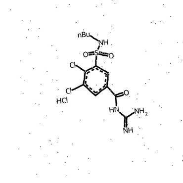 CCCCNS(=O)(=O)c1cc(C(=O)NC(=N)N)cc(Cl)c1Cl.Cl